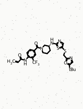 C=CC(=O)Nc1ccc(C(=O)N2CCC[C@@H](Nc3ncc(SCc4ncc(C(C)(C)C)o4)s3)C2)cc1C(F)(F)F